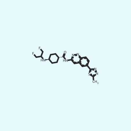 Cc1nnc(-c2ccc3nnc(NC(=O)[C@H]4CC[C@H](NC(CF)CF)CC4)cc3c2)s1